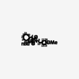 CCCCn1c2c(cc(C(=O)NCCc3ccc(OC)cc3)c1=O)CCCCCC2